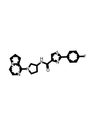 O=C(NC1CCN(c2nccn3cccc23)C1)c1csc(-c2ccc(F)cc2)n1